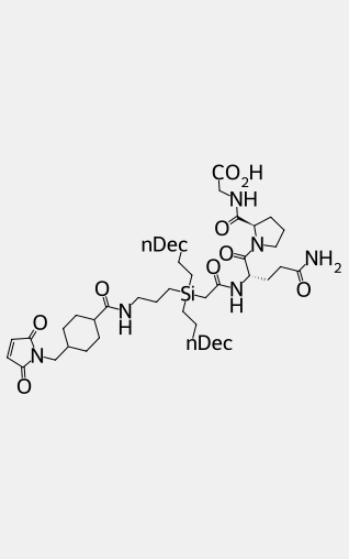 CCCCCCCCCCCC[Si](CCCCCCCCCCCC)(CCCNC(=O)C1CCC(CN2C(=O)C=CC2=O)CC1)CC(=O)N[C@@H](CCC(N)=O)C(=O)N1CCC[C@@H]1C(=O)NCC(=O)O